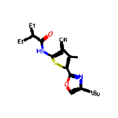 CCC(CC)C(=O)Nc1sc(-c2nc(C(C)(C)C)co2)c(C)c1C#N